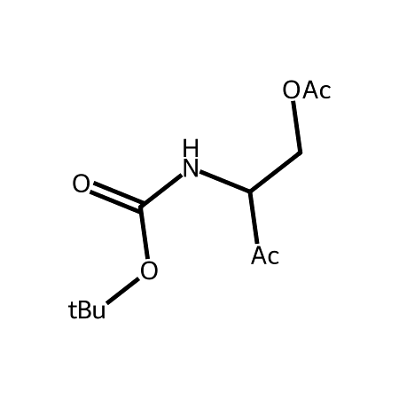 CC(=O)OCC(NC(=O)OC(C)(C)C)C(C)=O